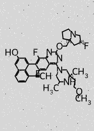 C#Cc1cccc2cc(O)cc(-c3c(F)cc4c(N5CC(C)N[C@@](C)(CCOC)C5)nc(OC[C@@]56CCCN5C[C@H](F)C6)nc4c3F)c12